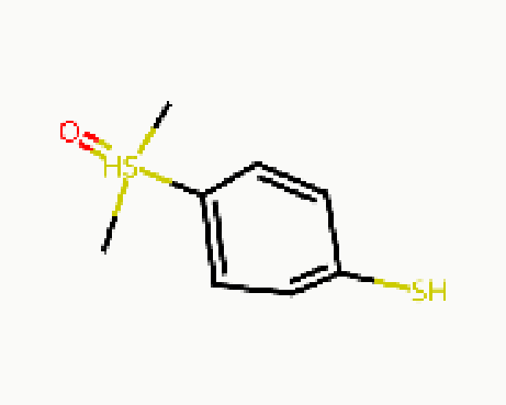 C[SH](C)(=O)c1ccc(S)cc1